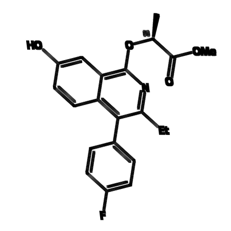 CCc1nc(O[C@@H](C)C(=O)OC)c2cc(O)ccc2c1-c1ccc(F)cc1